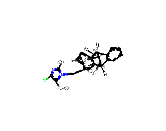 CCCCc1nc(Cl)c(C=O)n1Cc1ccc2c(c1)[C@H]1c3ccccc3[C@H]2[C@@H](C(=O)O)[C@@H]1C(=O)O